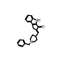 O=C1C(=CC2CCN(Cc3ccccc3)CC2)Cc2c1[nH]c1ccccc21